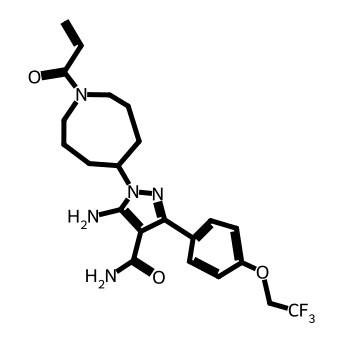 C=CC(=O)N1CCCC(n2nc(-c3ccc(OCC(F)(F)F)cc3)c(C(N)=O)c2N)CCC1